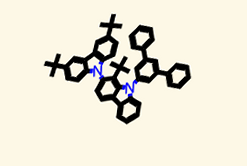 CC(C)(C)c1ccc2c(c1)c1cc(C(C)(C)C)ccc1n2-c1ccc2c3ccccc3n(-c3cc(-c4ccccc4)cc(-c4ccccc4)c3)c2c1C(C)(C)C